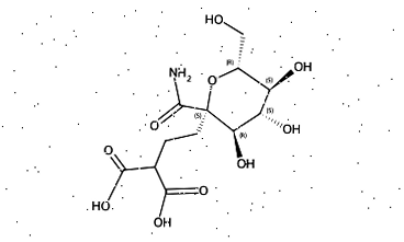 NC(=O)[C@@]1(CCC(C(=O)O)C(=O)O)O[C@H](CO)[C@@H](O)[C@H](O)[C@H]1O